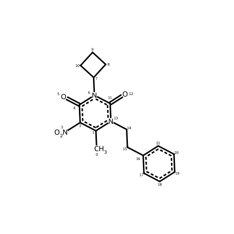 Cc1c([N+](=O)[O-])c(=O)n(C2CCC2)c(=O)n1CCc1ccccc1